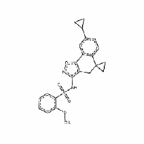 COc1ccccc1S(=O)(=O)Nc1noc2c1CC1(CC1)c1ccc(C3CC3)cc1-2